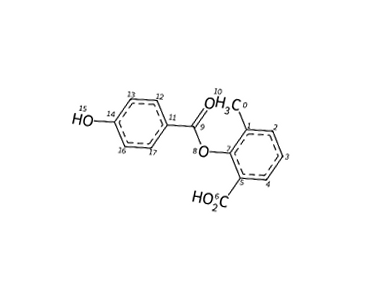 Cc1cccc(C(=O)O)c1OC(=O)c1ccc(O)cc1